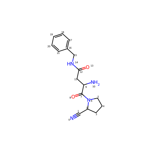 N#CC1CCCN1C(=O)C(N)CC(=O)NCc1ccccc1